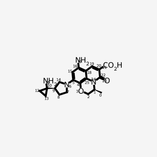 C[C@H]1COc2c(N3CC[C@@H](C4(N)CC4)C3)cc(N)c3cc(C(=O)O)c(=O)n1c23